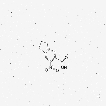 O=C(O)c1cc2c(cc1[N+](=O)[O-])CCC2